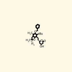 Cc1c2c(c(CC[C@@H]3C[C@@H](O)CC(=O)O3)c(C(C)(C)C)c1OCc1ccccc1)OC(C)(C)C2